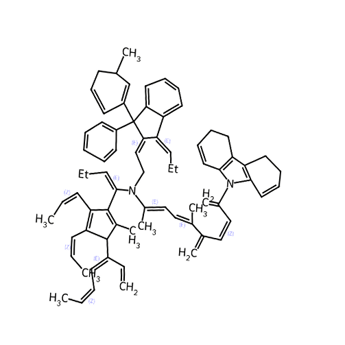 C=C/C(=C\C=C/C)C1C(C)=C(/C(=C\CC)N(C/C=C2\C(=C/CC)c3ccccc3C2(C2=CC(C)CC=C2)c2ccccc2)/C(C)=C/C=C(\C)C(=C)/C=C\C(=C)n2c3c(c4c2C=CCC4)CCC=C3)C(/C=C\C)=C1/C=C\C